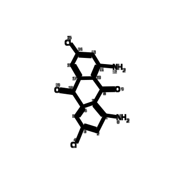 Nc1cc(Cl)cc2c1C(=O)c1c(N)cc(Cl)cc1C2=O